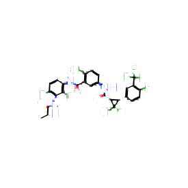 CCC(=O)Nc1c(F)ccc(NC(=O)c2cc(NC(=O)[C@H]3[C@H](c4ccc(F)c(C(F)(F)F)c4)C3(Cl)Cl)ccc2Cl)c1F